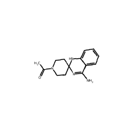 CC(=O)N1CCC2(CC1)N=C(N)c1ccccc1N2